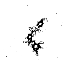 Cc1ccc(S(=O)(=O)NC(=O)c2ccc3[nH]c(C)c(Cc4ccc(I)cc4Cl)c3c2)cc1